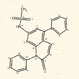 CS(=O)(=O)Nc1nc(-c2ccccc2)c2ccc(=O)n(-c3ccccc3)c2n1